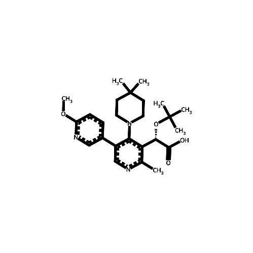 COc1ccc(-c2cnc(C)c([C@H](OC(C)(C)C)C(=O)O)c2N2CCC(C)(C)CC2)cn1